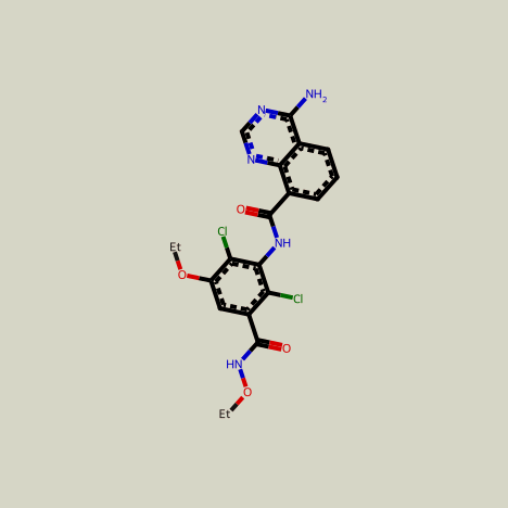 CCONC(=O)c1cc(OCC)c(Cl)c(NC(=O)c2cccc3c(N)ncnc23)c1Cl